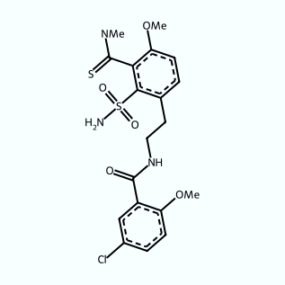 CNC(=S)c1c(OC)ccc(CCNC(=O)c2cc(Cl)ccc2OC)c1S(N)(=O)=O